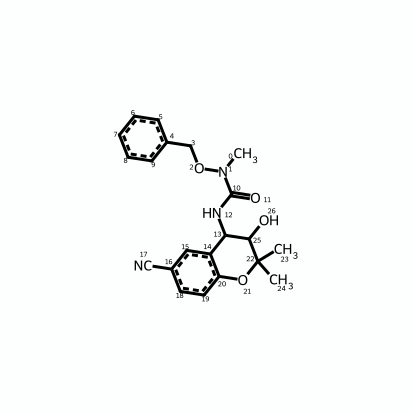 CN(OCc1ccccc1)C(=O)NC1c2cc(C#N)ccc2OC(C)(C)C1O